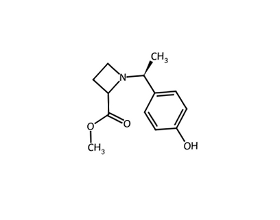 COC(=O)C1CCN1[C@@H](C)c1ccc(O)cc1